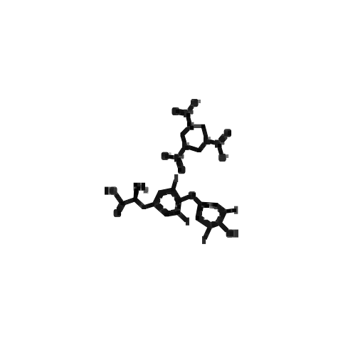 N[C@@H](Cc1cc(I)c(Oc2cc(I)c(O)c(I)c2)c(I)c1)C(=O)O.O=[N+]([O-])N1CN([N+](=O)[O-])CN([N+](=O)[O-])C1